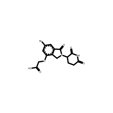 O=C(O)COc1cc(Br)cc2c1CN(C1CCC(=O)NC1=O)C2=O